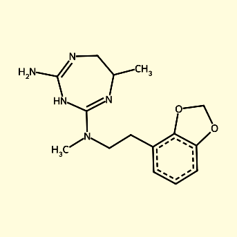 CC1CN=C(N)NC(N(C)CCc2cccc3c2OCO3)=N1